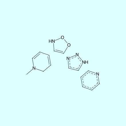 C1=COON1.CN1C=CC=CC1.c1c[nH]nn1.c1ccncc1